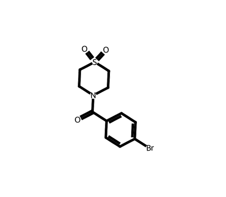 O=C(c1ccc(Br)cc1)N1CCS(=O)(=O)CC1